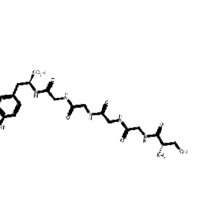 N[C@@H](CO)C(=O)NCC(=O)NCC(=O)NCC(=O)NCC(=O)N[C@@H](Cc1ccc(O)cc1)C(=O)O